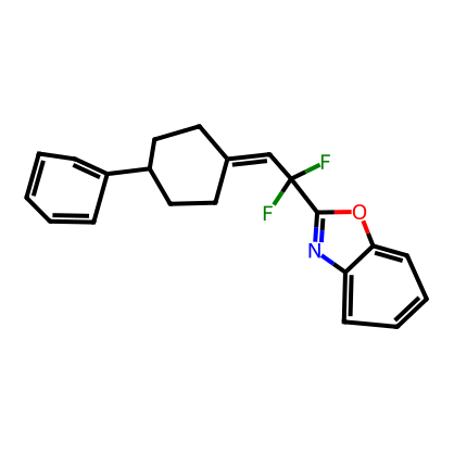 FC(F)(C=C1CCC(c2ccccc2)CC1)c1nc2ccccc2o1